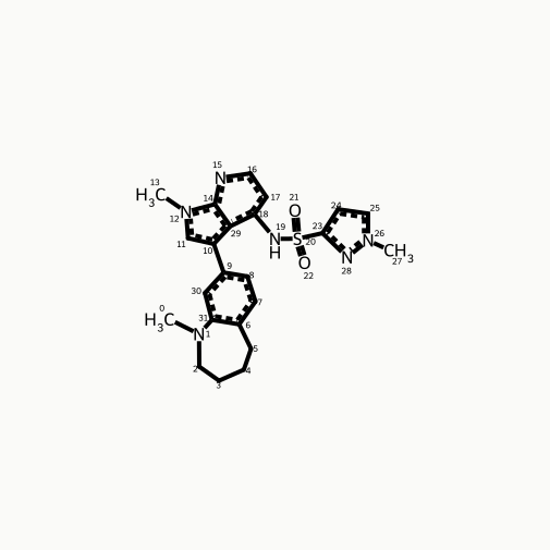 CN1CCCCc2ccc(-c3cn(C)c4nccc(NS(=O)(=O)c5ccn(C)n5)c34)cc21